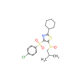 CC(C)C[S+]([O-])c1sc(C2CCCCC2)nc1S(=O)(=O)c1ccc(Cl)cc1